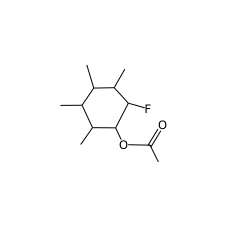 CC(=O)OC1C(C)C(C)C(C)C(C)C1F